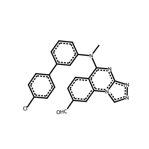 CN(c1cccc(-c2ccc(Cl)cc2)c1)c1nc2nncn2c2cc(C=O)ccc12